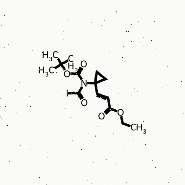 CCOC(=O)C=CC1(N(C(=O)I)C(=O)OC(C)(C)C)CC1